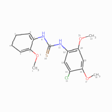 COC1=C[CH]CC=C1NC(=S)Nc1cc(Cl)c(OC)cc1OC